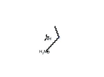 CCCCCCCC/C=C\CCCCCCCCCCCC(N)=O.CCNC(C)CC